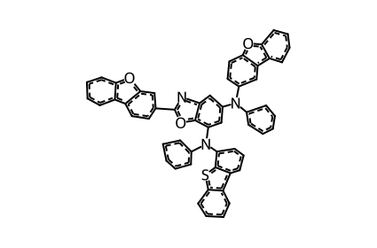 c1ccc(N(c2cc(N(c3ccccc3)c3cccc4c3sc3ccccc34)c3oc(-c4ccc5c(c4)oc4ccccc45)nc3c2)c2ccc3oc4ccccc4c3c2)cc1